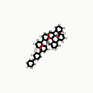 c1ccc(-c2ccc(-c3ccc(N(c4ccccc4-c4ccccc4)c4cccc(-c5ccccc5)c4-c4cccc5c4sc4ccccc45)cc3)cc2)cc1